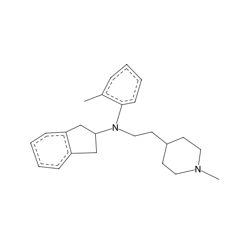 Cc1ccccc1N(CCC1CCN(C)CC1)C1Cc2ccccc2C1